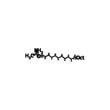 CCCCCCCCCCCCCCCCCCOC(C)N